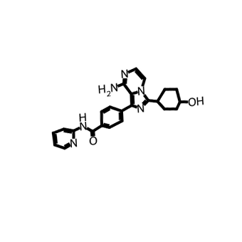 Nc1nccn2c(C3CCC(O)CC3)nc(-c3ccc(C(=O)Nc4ccccn4)cc3)c12